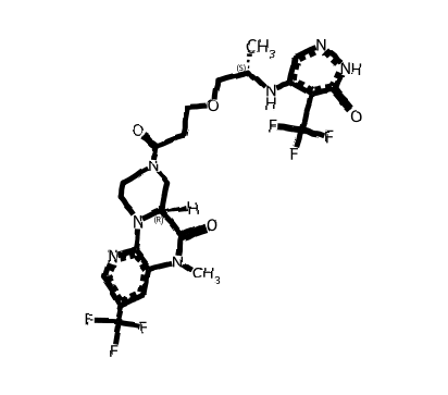 C[C@@H](COCCC(=O)N1CCN2c3ncc(C(F)(F)F)cc3N(C)C(=O)[C@H]2C1)Nc1cn[nH]c(=O)c1C(F)(F)F